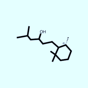 CC(C)CC(O)CCC1[C@H](C)CCCC1(C)C